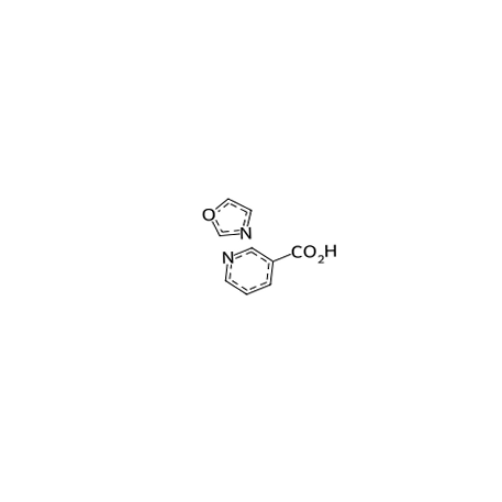 O=C(O)c1cccnc1.c1cocn1